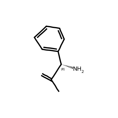 C=C(C)[C@@H](N)c1ccccc1